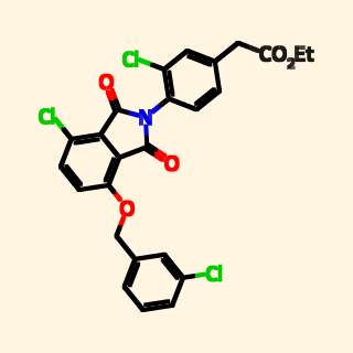 CCOC(=O)Cc1ccc(N2C(=O)c3c(Cl)ccc(OCc4cccc(Cl)c4)c3C2=O)c(Cl)c1